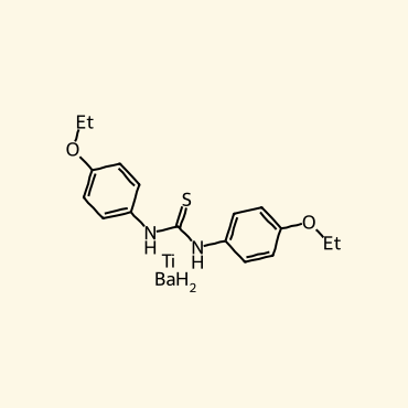 CCOc1ccc(NC(=S)Nc2ccc(OCC)cc2)cc1.[BaH2].[Ti]